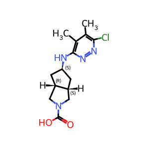 Cc1c(Cl)nnc(N[C@H]2C[C@@H]3CN(C(=O)O)C[C@@H]3C2)c1C